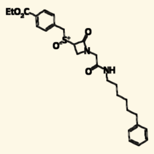 CCOC(=O)c1ccc(C[S+]([O-])C2CN(CC(=O)NCCCCCCc3ccccc3)C2=O)cc1